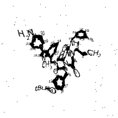 C=CCN1CC(=O)N2[C@@H](Cc3ccc(OC(C)(C)C)cc3)C(=O)N(Cc3cccc4c(-c5ccc(N)cc5)cn(C)c34)C[C@@H]2N1C(=O)NCc1ccccc1